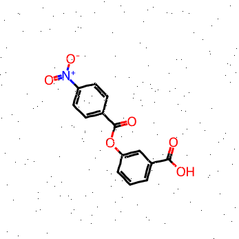 O=C(O)c1cccc(OC(=O)c2ccc([N+](=O)[O-])cc2)c1